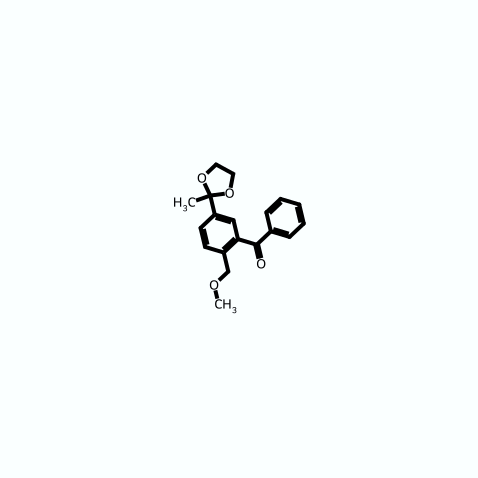 COCc1ccc(C2(C)OCCO2)cc1C(=O)c1ccccc1